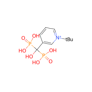 CC(C)(C)[n+]1cccc(C(O)(P(=O)(O)O)P(=O)(O)O)c1